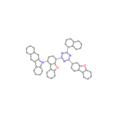 c1ccc2cc3c(cc2c1)c1ccccc1n3-c1ccc(-c2nc(-c3ccc4c(c3)oc3ccccc34)nc(-c3cccc4ccccc34)n2)c2oc3ccccc3c12